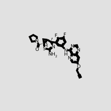 C#CCOc1cnc2c(Nc3cc(F)c(F)c([C@@]4(C)N=C(N)S[C@@]5(C(=O)N6CCCC6)C[C@H]54)c3)ncnc2c1